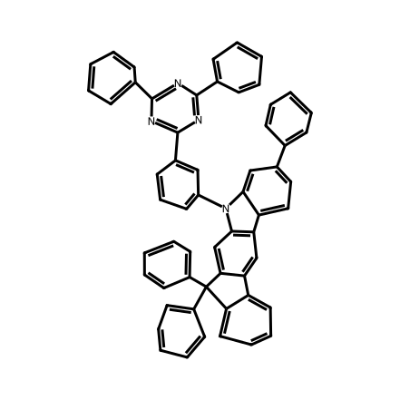 c1ccc(-c2ccc3c4cc5c(cc4n(-c4cccc(-c6nc(-c7ccccc7)nc(-c7ccccc7)n6)c4)c3c2)C(c2ccccc2)(c2ccccc2)c2ccccc2-5)cc1